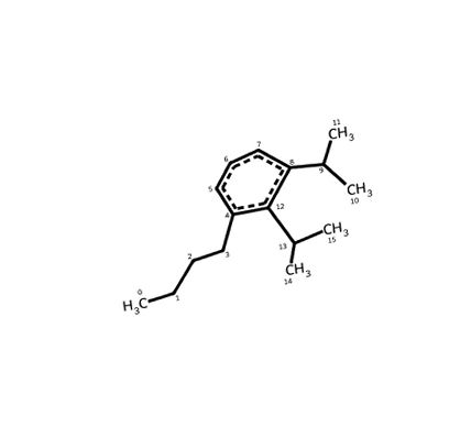 CCCCc1cccc(C(C)C)c1C(C)C